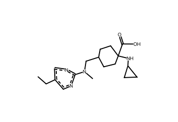 CCc1cnc(N(C)CC2CCC(NC3CC3)(C(=O)O)CC2)nc1